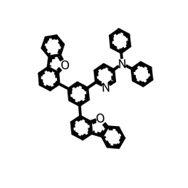 c1ccc(N(c2ccccc2)c2ccc(-c3cc(-c4cccc5c4oc4ccccc45)cc(-c4cccc5c4oc4ccccc45)c3)nc2)cc1